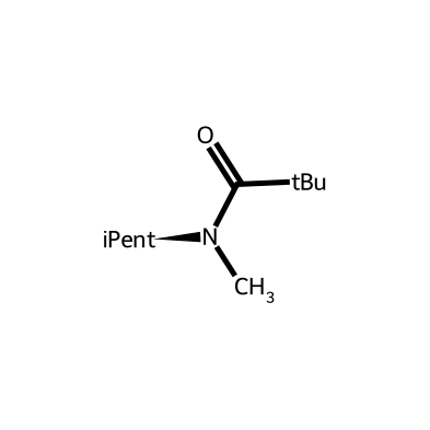 CCC[C@H](C)N(C)C(=O)C(C)(C)C